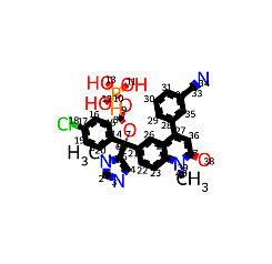 Cn1cncc1[C@@](OCO[PH](O)(O)O)(c1ccc(Cl)cc1)c1ccc2c(c1)c(-c1cccc(C#N)c1)cc(=O)n2C